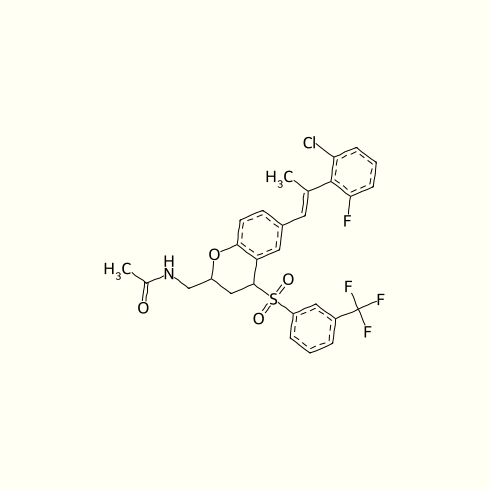 CC(=O)NCC1CC(S(=O)(=O)c2cccc(C(F)(F)F)c2)c2cc(/C=C(\C)c3c(F)cccc3Cl)ccc2O1